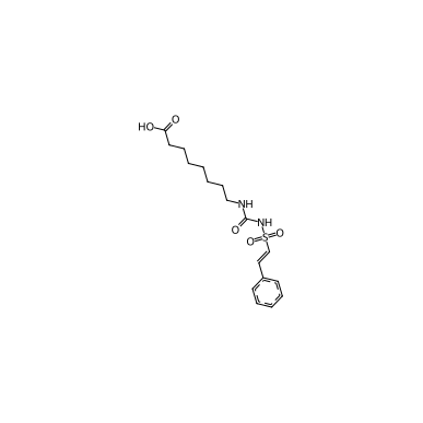 O=C(O)CCCCCCCNC(=O)NS(=O)(=O)C=Cc1ccccc1